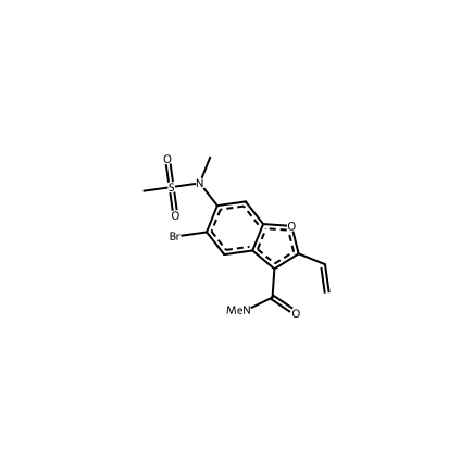 C=Cc1oc2cc(N(C)S(C)(=O)=O)c(Br)cc2c1C(=O)NC